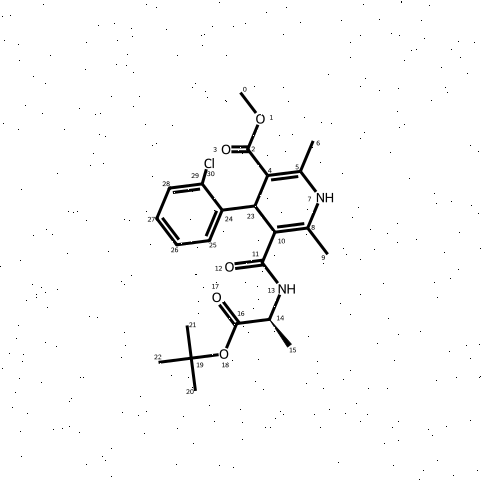 COC(=O)C1=C(C)NC(C)=C(C(=O)N[C@@H](C)C(=O)OC(C)(C)C)C1c1ccccc1Cl